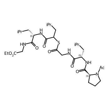 CCOC(=O)CNC(=O)[C@H](CC(C)C)NC(=O)C(CC(C)C)SC(=O)CNC(=O)[C@H](CC(C)C)NC(=O)[C@@H]1CCCN1C(C)=O